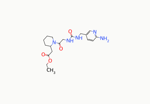 CCOC(=O)CC1CCCCN1C(=O)CNC(=O)NCc1ccc(N)nc1